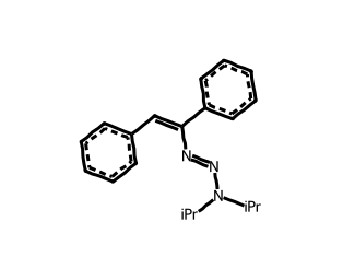 CC(C)N(N=NC(=Cc1ccccc1)c1ccccc1)C(C)C